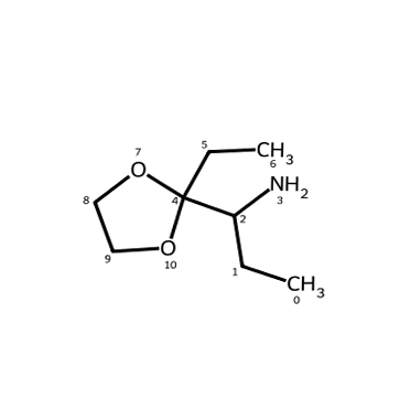 CCC(N)C1(CC)OCCO1